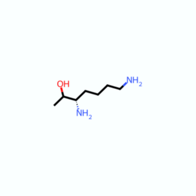 CC(O)[C@@H](N)CCCCN